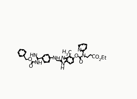 CCOC(=O)CCN(C(=O)Oc1ccc2[nH]c(CNc3ccc(C(=N)NC(=O)OCc4ccccc4)cc3)nc2c1C)c1ccccn1